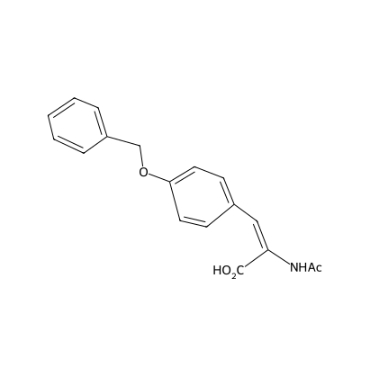 CC(=O)NC(=Cc1ccc(OCc2ccccc2)cc1)C(=O)O